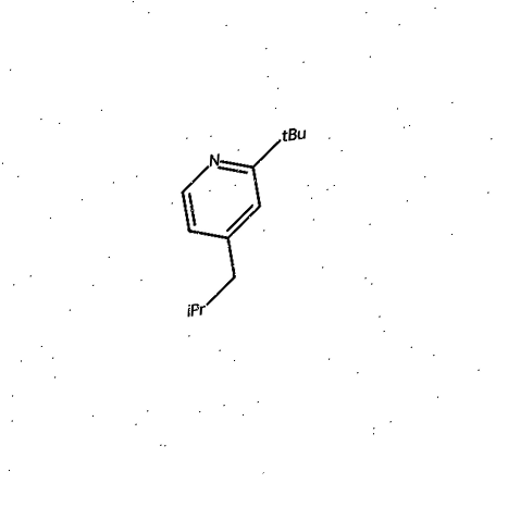 CC(C)Cc1ccnc(C(C)(C)C)c1